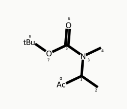 CC(=O)C(C)N(C)C(=O)OC(C)(C)C